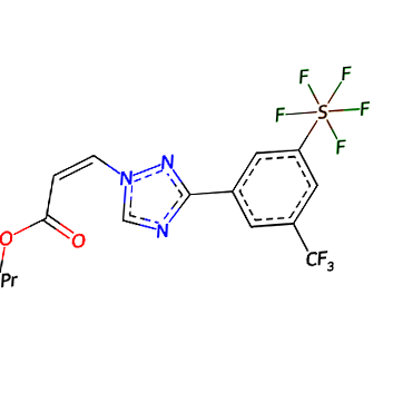 CC(C)OC(=O)/C=C\n1cnc(-c2cc(C(F)(F)F)cc(S(F)(F)(F)(F)F)c2)n1